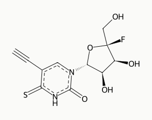 C#Cc1cn([C@@H]2O[C@](F)(CO)[C@@H](O)[C@H]2O)c(=O)[nH]c1=S